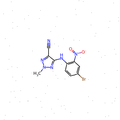 Cn1nc(C#N)c(Nc2ccc(Br)cc2[N+](=O)[O-])n1